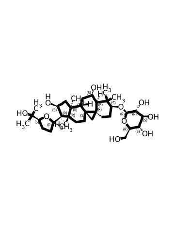 CC(C)(O)[C@@H]1CC[C@](C)([C@H]2[C@@H](O)C[C@@]3(C)[C@@H]4C[C@H](O)[C@H]5C(C)(C)[C@@H](O[C@@H]6O[C@H](CO)[C@@H](O)[C@H](O)[C@H]6O)CC[C@@]56C[C@@]46CC[C@]23C)O1